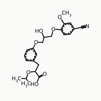 COc1cc(C#N)ccc1OCC(O)COc1cccc(CC(OC(C)C)C(=O)O)c1